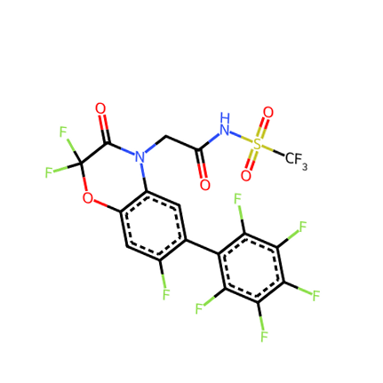 O=C(CN1C(=O)C(F)(F)Oc2cc(F)c(-c3c(F)c(F)c(F)c(F)c3F)cc21)NS(=O)(=O)C(F)(F)F